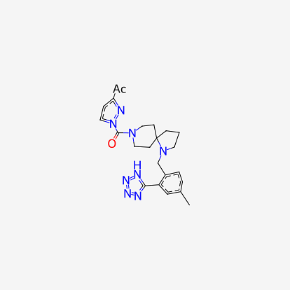 CC(=O)c1ccn(C(=O)N2CCC3(CCCN3Cc3ccc(C)cc3-c3nnn[nH]3)CC2)n1